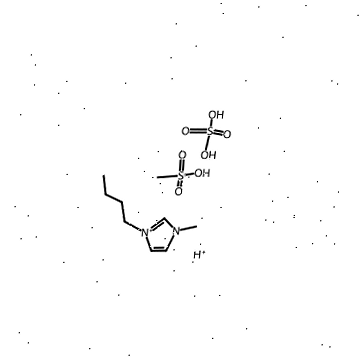 CCCC[n+]1ccn(C)c1.CS(=O)(=O)O.O=S(=O)(O)O.[H+]